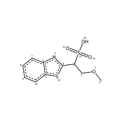 COCC(c1nc2ccccc2s1)S(=O)(=O)O